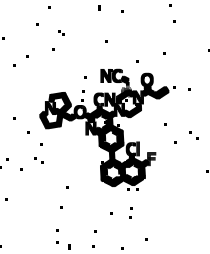 C=CC(=O)N1CCN(c2c(C#N)c(OCC34CCCN3CCC4)nc3cc(-c4cccc5ccc(F)c(Cl)c45)ccc23)C[C@@H]1CC#N